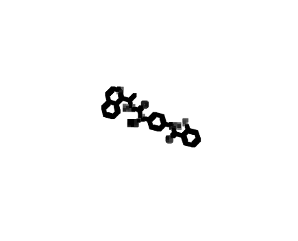 CC(NC(=O)N(S)c1ccc(NC(=O)c2ccccc2F)cc1)c1nccc2ccccc12